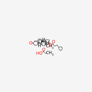 CCC(=O)O.C[C@]12CC[C@H]3[C@@H](CCC4=CC(=O)CC[C@@]43C)[C@@H]1CC[C@@H]2OC(=O)CCC1CCCC1